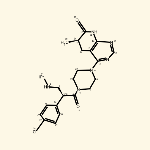 CC(C)NC[C@@H](C(=O)N1CCN(c2ncnc3c2C[C@@H](C)C(=O)N3)CC1)c1ccc(Cl)cc1